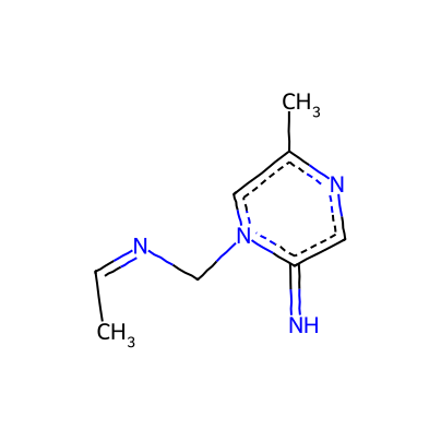 C/C=N\Cn1cc(C)ncc1=N